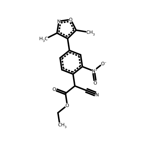 CCOC(=O)C(C#N)c1ccc(-c2c(C)noc2C)cc1[N+](=O)[O-]